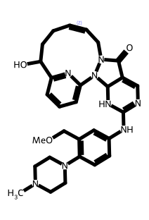 COCc1cc(NC2=NC=C3C(=O)N4C/C=C\CCC(O)c5cccc(n5)N4C3N2)ccc1N1CCN(C)CC1